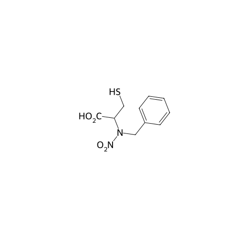 O=C(O)C(CS)N(Cc1ccccc1)[N+](=O)[O-]